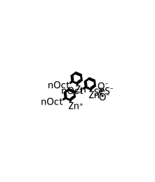 CCCCCCCCc1cccc[c]1[Zn+].CCCCCCCCc1cccc[c]1[Zn+].CCCCCCCCc1cccc[c]1[Zn+].[O-]P([O-])(=S)[S-]